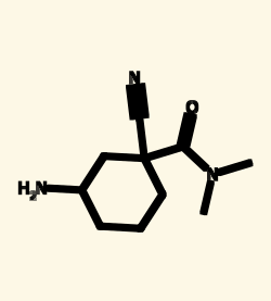 CN(C)C(=O)C1(C#N)CCCC(N)C1